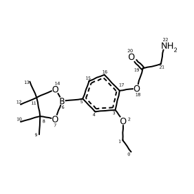 CCOc1cc(B2OC(C)(C)C(C)(C)O2)ccc1OC(=O)CN